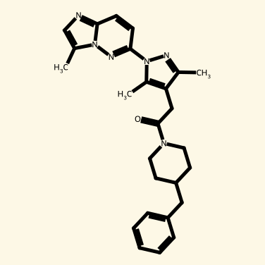 Cc1nn(-c2ccc3ncc(C)n3n2)c(C)c1CC(=O)N1CCC(Cc2ccccc2)CC1